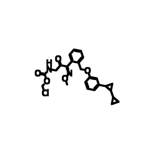 CON=C(C(=O)CNC(=O)OCCl)c1ccccc1COc1cccc(C2CC2C2CC2)c1